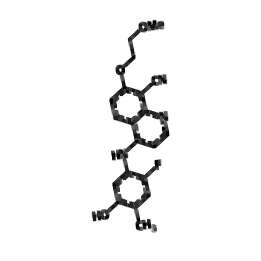 COCCOc1ccc2c(Nc3cc(O)c(C)cc3F)ccnc2c1C#N